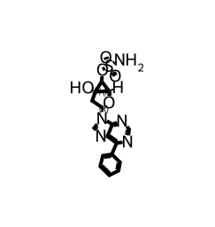 NS(=O)(=O)OC1[C@H]2O[C@@H](n3cnc4c(-c5ccccc5)ncnc43)C[C@@]12O